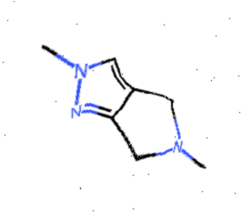 CN1Cc2cn(C)nc2C1